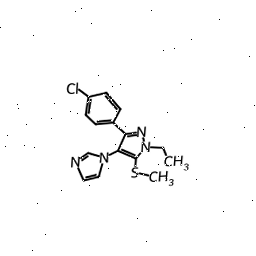 CCn1nc(-c2ccc(Cl)cc2)c(-n2ccnc2)c1SC